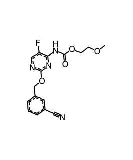 COCCOC(=O)Nc1nc(OCc2cccc(C#N)c2)ncc1F